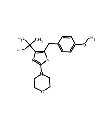 COc1ccc(Cc2sc(N3CCOCC3)nc2C(C)(C)C)cc1